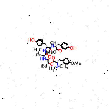 CC[C@@H](C)[C@H](OC(=O)[C@H](Cc1ccc(OC)cc1)N(C)C)C(=O)NC(C(=O)N(C)[C@H](Cc1ccc(O)cc1)C(=O)N(C)[C@H](Cc1ccc(O)cc1)C(=O)OC)C(C)C